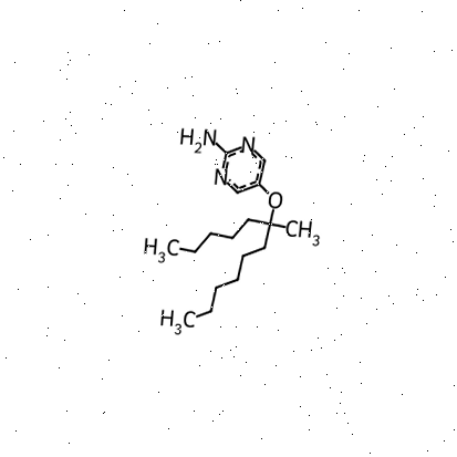 CCCCCCC(C)(CCCCC)Oc1cnc(N)nc1